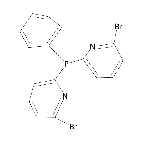 Brc1cccc(P(c2ccccc2)c2cccc(Br)n2)n1